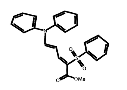 COC(=O)/C(=C/C=C/N(c1ccccc1)c1ccccc1)S(=O)(=O)c1ccccc1